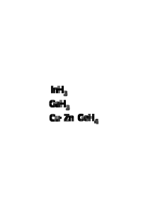 [Cu].[GaH3].[GeH4].[InH3].[Zn]